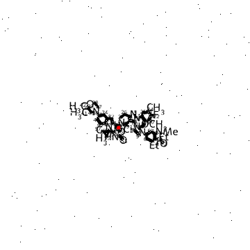 CCP(=O)(CC)c1ccc(-n2ccn(-c3c4c(nn3-c3cc(C)c(F)c(C)c3)CCN(C(=O)c3cc5cc(N6CCOC(C)(C)C6)ccc5n3[C@@]3(c5noc(=O)[nH]5)C[C@@H]3C)[C@H]4C)c2=O)cc1NC